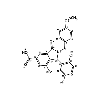 COc1ccc(CN2C(=O)c3cc(C(=O)O)cc(Br)c3C2c2cc(F)ccc2Cl)cc1